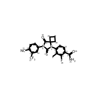 Cc1c(N2C(=S)N(c3ccc(C#N)c(C(F)(F)F)c3)C(=O)C23CCC3)ccc(C(N)=O)c1F